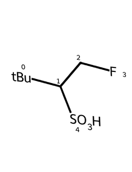 CC(C)(C)C(CF)S(=O)(=O)O